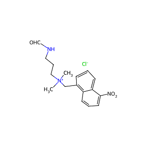 C[N+](C)(CCCNC=O)Cc1cccc2c([N+](=O)[O-])cccc12.[Cl-]